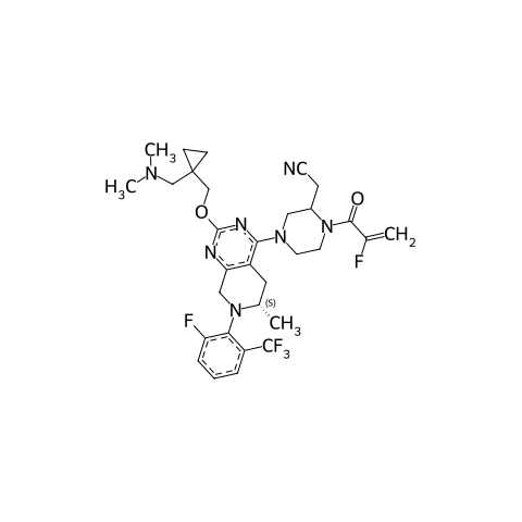 C=C(F)C(=O)N1CCN(c2nc(OCC3(CN(C)C)CC3)nc3c2C[C@H](C)N(c2c(F)cccc2C(F)(F)F)C3)CC1CC#N